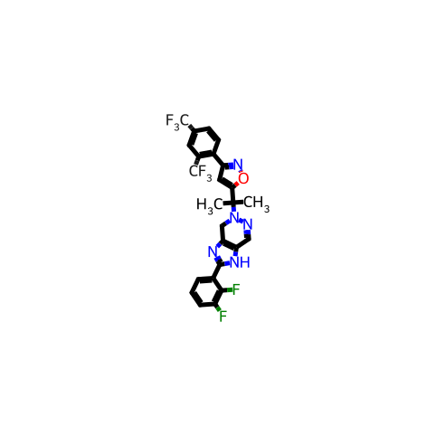 CC(C)(c1cc(-c2ccc(C(F)(F)F)cc2C(F)(F)F)no1)N1Cc2nc(-c3cccc(F)c3F)[nH]c2C=N1